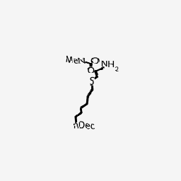 CCCCCCCCCCCCCCCCSCC(CN)OC(=O)NC